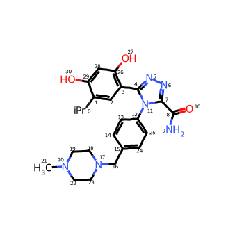 CC(C)c1cc(-c2nnc(C(N)=O)n2-c2ccc(CN3CCN(C)CC3)cc2)c(O)cc1O